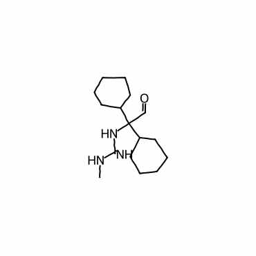 CNC(=N)NC(C=O)(C1CCCCC1)C1CCCCC1